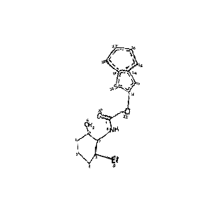 CCC1CCCC(C)C1NC(=O)Oc1cc2ccccc2s1